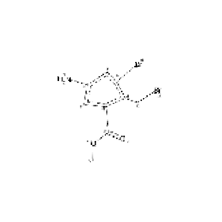 COC(=O)c1cc(N)cc(Br)c1CBr